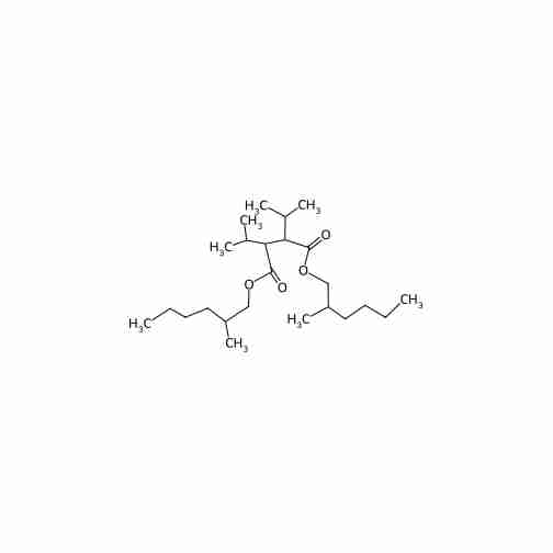 CCCCC(C)COC(=O)C(C(C)C)C(C(=O)OCC(C)CCCC)C(C)C